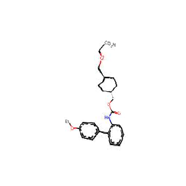 CCOc1ccc(-c2ccccc2NC(=O)OC[C@H]2CC[C@H](COCC(=O)O)CC2)cc1